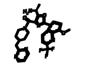 COc1ccc(-c2nc(C(=O)N3CCC(Cc4ncccn4)CC3)c([C@H](C)N)o2)c2ccc(C(F)(F)F)nc12